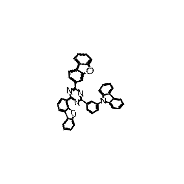 c1cc(-c2nc(-c3ccc4c(c3)oc3ccccc34)nc(-c3cccc4c3oc3ccccc34)n2)cc(-n2c3ccccc3c3ccccc32)c1